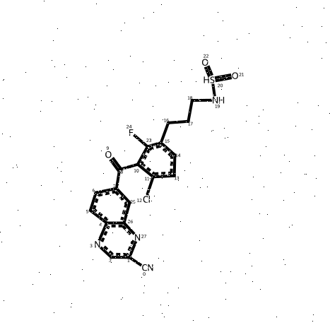 N#Cc1cnc2ccc(C(=O)c3c(Cl)ccc(CCCN[SH](=O)=O)c3F)cc2n1